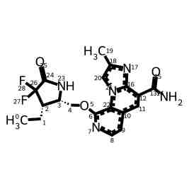 CC[C@H]1[C@@H](COc2nccc3cc(C(N)=O)c4nc(C)cn4c23)NC(=O)C1(F)F